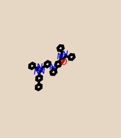 c1ccc(-c2ccc(-c3nc(-c4ccccc4)nc(-c4cccc(-n5c6ccccc6c6cc7oc8c(-c9ccccc9)nc(-c9ccccc9)nc8c7cc65)c4)n3)cc2)cc1